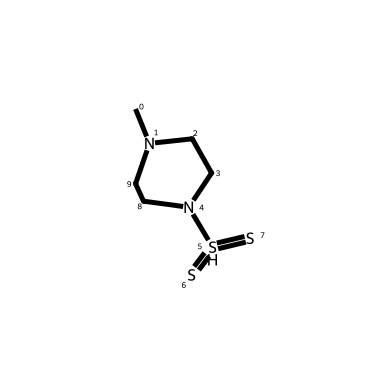 CN1CCN([SH](=S)=S)CC1